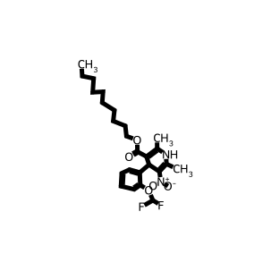 CCCCCCCCCCOC(=O)C1=C(C)NC(C)=C([N+](=O)[O-])C1c1ccccc1OC(F)F